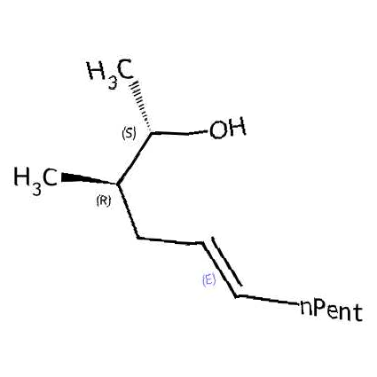 CCCCC/C=C/C[C@@H](C)[C@H](C)O